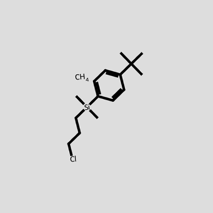 C.CC(C)(C)c1ccc([Si](C)(C)CCCCl)cc1